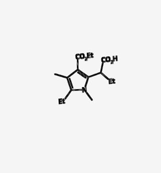 CCOC(=O)c1c(C)c(CC)n(C)c1C(CC)C(=O)O